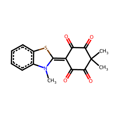 CN1C(=C2C(=O)C(=O)C(C)(C)C(=O)C2=O)Sc2ccccc21